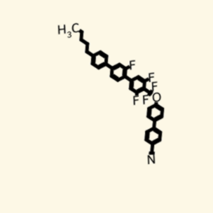 CCCCCc1ccc(-c2ccc(-c3cc(F)c(C(F)(F)Oc4ccc(-c5ccc(C#N)cc5)cc4)c(F)c3)c(F)c2)cc1